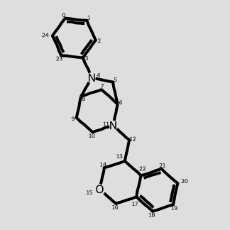 c1ccc(N2CC3CC2CCN3CC2COCc3ccccc32)cc1